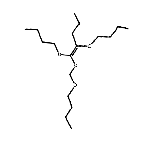 CCCCOCOC(OCCCC)=C(CCC)OCCCC